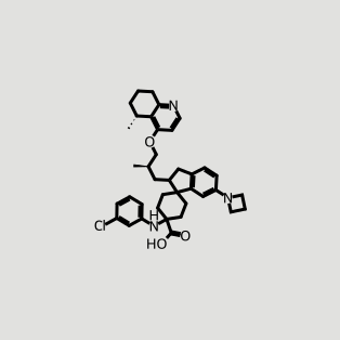 C[C@@H](COc1ccnc2c1[C@H](C)CCC2)CC1Cc2ccc(N3CCC3)cc2C12CCC(Nc1cccc(Cl)c1)(C(=O)O)CC2